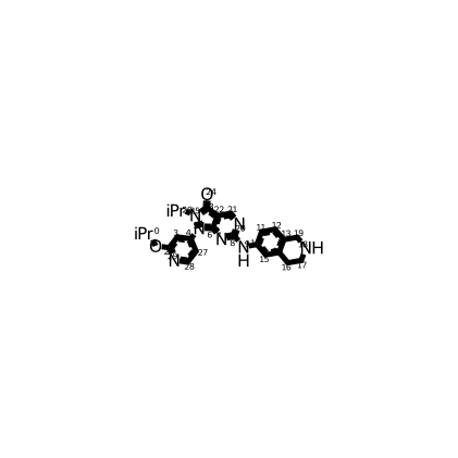 CC(C)Oc1cc(-n2c3nc(Nc4ccc5c(c4)CCNC5)ncc3c(=O)n2C(C)C)ccn1